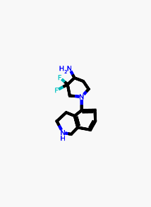 NC1CCN(c2cccc3c2CCNC3)CC1(F)F